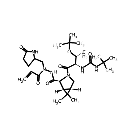 C=CC(=O)N(CC1CCC(=O)N1)NC(=O)[C@@H]1[C@@H]2[C@H](CN1C(=O)[C@@H](NC(=O)NC(C)(C)C)[C@@H](C)OC(C)(C)C)C2(C)C